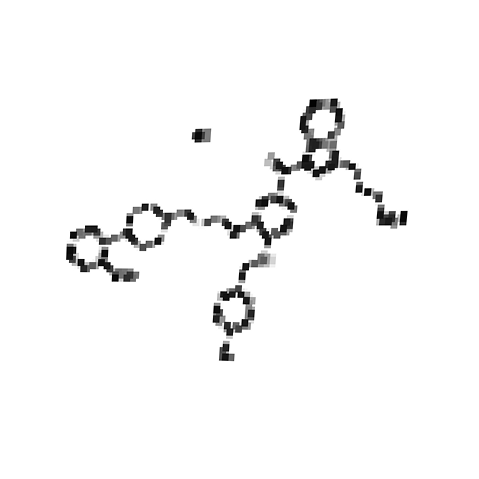 CCc1ccc(CNc2ccc(C(=O)c3cn(CCCC(=O)O)c4ccccc34)cc2OCCCN2CCN(c3ccccc3OC)CC2)cc1.Cl